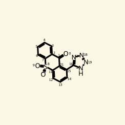 O=C1c2ccccc2S(=O)(=O)c2cccc(-c3nnn[nH]3)c21